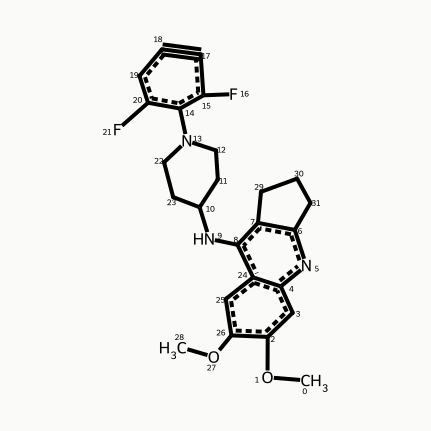 COc1cc2nc3c(c(NC4CCN(c5c(F)c#ccc5F)CC4)c2cc1OC)CCC3